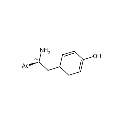 CC(=O)[C@@H](N)CC1C=CC(O)=CC1